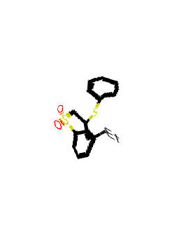 CCc1cccc2c1C(Sc1ccccc1)CS2(=O)=O